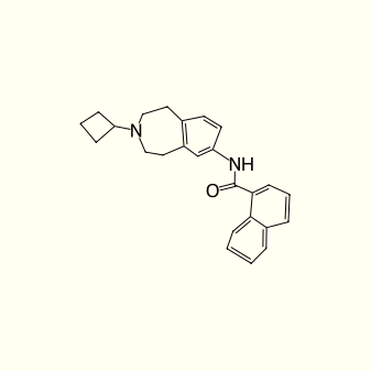 O=C(Nc1ccc2c(c1)CCN(C1CCC1)CC2)c1cccc2ccccc12